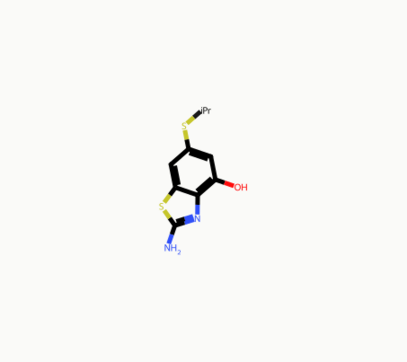 CC(C)Sc1cc(O)c2nc(N)sc2c1